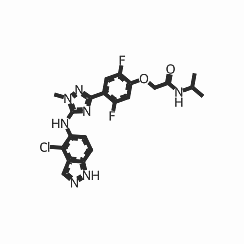 CC(C)NC(=O)COc1cc(F)c(-c2nc(Nc3ccc4[nH]ncc4c3Cl)n(C)n2)cc1F